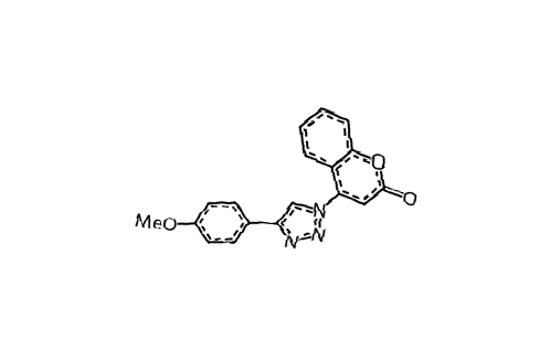 COc1ccc(-c2cn(-c3cc(=O)oc4ccccc34)nn2)cc1